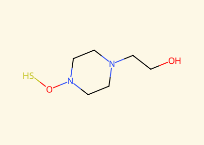 OCCN1CCN(OS)CC1